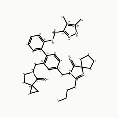 CCCCC1=NC2(CCCC2)C(=O)N1Cc1ccc(-c2ccccc2SNc2noc(C)c2C)c(CN2CCC3(CC3)C2=O)c1